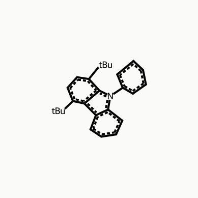 CC(C)(C)c1ccc(C(C)(C)C)c2c1c1ccccc1n2-c1ccccc1